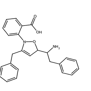 NC(Cc1ccccc1)C1C=C(Cc2ccccc2)N(c2ccccc2C(=O)O)O1